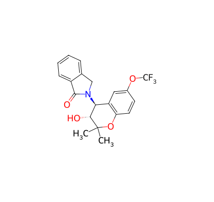 CC1(C)Oc2ccc(OC(F)(F)F)cc2[C@H](N2Cc3ccccc3C2=O)[C@H]1O